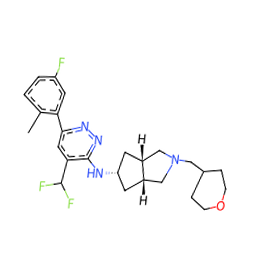 Cc1ccc(F)cc1-c1cc(C(F)F)c(N[C@@H]2C[C@@H]3CN(CC4CCOCC4)C[C@@H]3C2)nn1